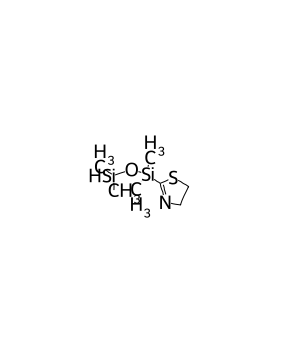 C[SiH](C)O[Si](C)(C)C1=NCCS1